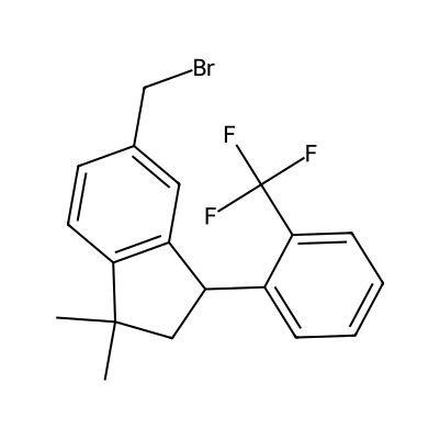 CC1(C)CC(c2ccccc2C(F)(F)F)c2cc(CBr)ccc21